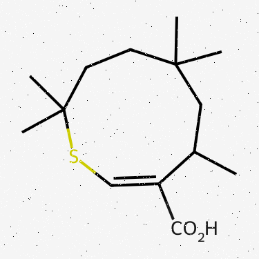 CC1CC(C)(C)CCC(C)(C)S/C=C\1C(=O)O